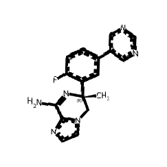 C[C@@]1(c2cc(-c3cncnc3)ccc2F)Cn2ccnc2C(N)=N1